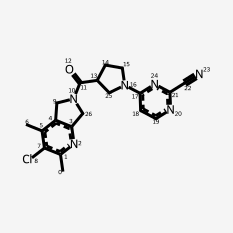 Cc1nc2c(c(C)c1Cl)CN(C(=O)C1CCN(c3ccnc(C#N)n3)C1)C2